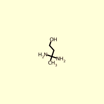 CC(N)(N)CCO